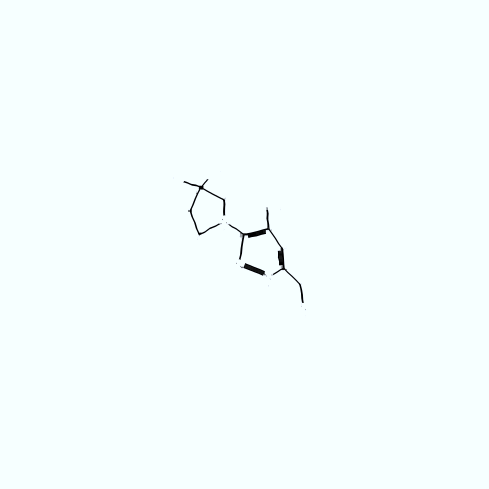 Cc1cc(CN)nnc1N1CCC(F)(F)C1